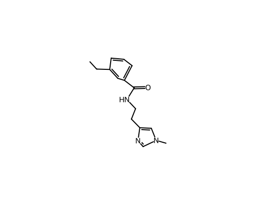 CCc1cccc(C(=O)NCCc2cn(C)cn2)c1